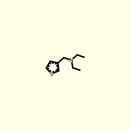 CCN(CC)Cc1ccsc1